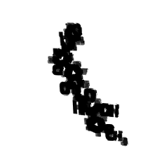 COc1cccc(C(CO)NC(=O)CN2Cc3ccc(-c4nc(NCC5CCOC5)ncc4Cl)cc3C2=O)c1